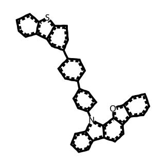 c1ccc2c(c1)oc1c2ccc2c3ccccc3n(-c3ccc(-c4ccc(-c5ccc6sc7ccccc7c6c5)cc4)cc3)c21